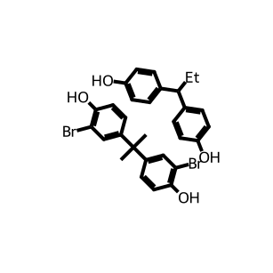 CC(C)(c1ccc(O)c(Br)c1)c1ccc(O)c(Br)c1.CCC(c1ccc(O)cc1)c1ccc(O)cc1